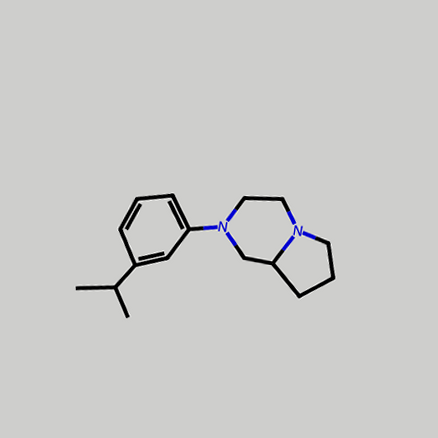 CC(C)c1cccc(N2CCN3CCCC3C2)c1